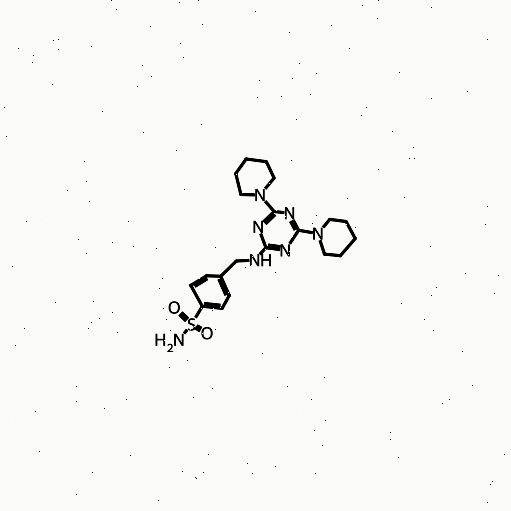 NS(=O)(=O)c1ccc(CNc2nc(N3CCCCC3)nc(N3CCCCC3)n2)cc1